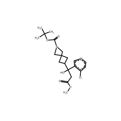 COC(=O)CC(O)(c1cnccc1Cl)C1CC2(C1)CN(C(=O)OC(C)(C)C)C2